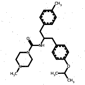 Cc1ccc(CC(Cc2ccc(OC(C)C)cc2)NC(=O)N2CCN(C)CC2)cc1